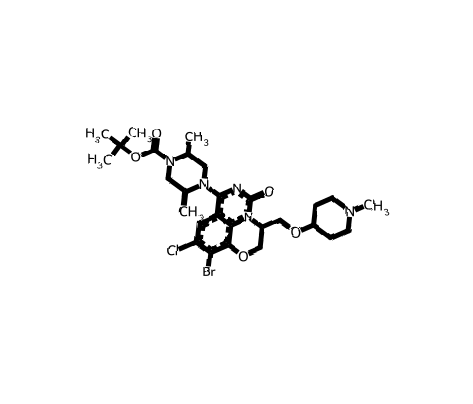 CC1CN(c2nc(=O)n3c4c(c(Br)c(Cl)cc24)OCC3COC2CCN(C)CC2)C(C)CN1C(=O)OC(C)(C)C